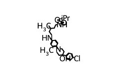 Cc1cc(NCCC(C)CCNS(=O)(=O)C(C)C)ccc1N1CCC(O)(c2ccc(Cl)cc2)CC1